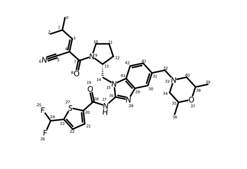 CC(C)/C=C(\C#N)C(=O)N1CCC[C@@H]1Cn1c(NC(=O)c2ccc(C(F)F)s2)nc2cc(CN3CC(C)OC(C)C3)ccc21